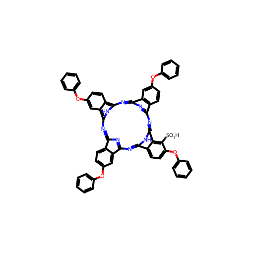 O=S(=O)(O)c1c(Oc2ccccc2)ccc2c3nc4nc(nc5[nH]c(nc6nc(nc([nH]3)c12)-c1ccc(Oc2ccccc2)cc1-6)c1ccc(Oc2ccccc2)cc51)-c1ccc(Oc2ccccc2)cc1-4